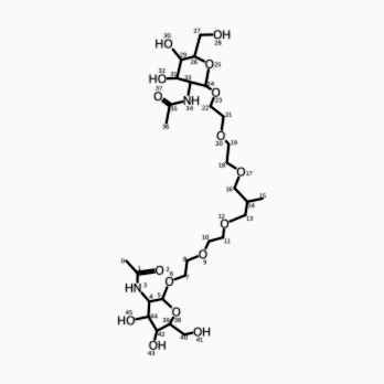 CC(=O)NC1C(OCCOCCOCC(C)COCCOCCOC2OC(CO)C(O)C(O)C2NC(C)=O)OC(CO)C(O)C1O